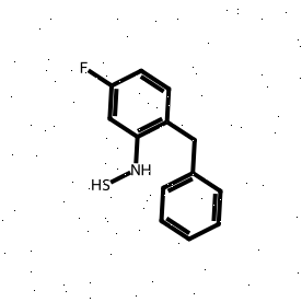 Fc1ccc(Cc2ccccc2)c(NS)c1